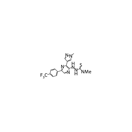 CNC(=S)NNc1ncc(-c2ccc(C(F)(F)F)cc2)nc1-c1cnn(C)c1